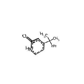 CCCC(C)(C)c1cc[nH]c(=O)c1